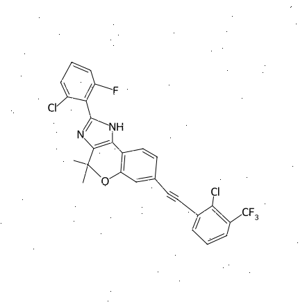 CC1(C)Oc2cc(C#Cc3cccc(C(F)(F)F)c3Cl)ccc2-c2[nH]c(-c3c(F)cccc3Cl)nc21